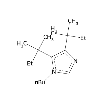 CCCCn1cnc(C(C)(C)CC)c1C(C)(C)CC